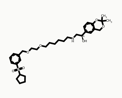 CC1(C)OCc2cc([C@@H](O)CNCCCCCCOCCOCc3cccc(S(=O)(=O)C4CCCC4)c3)ccc2O1